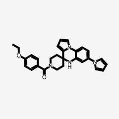 CCOc1ccc(C(=O)N2CCC3(CC2)Nc2cc(-n4cccc4)ccc2-n2cccc23)cc1